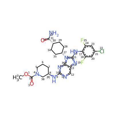 COC(=O)N1CCC[C@@H](Nc2ncc3nc(Nc4c(F)cc(Cl)cc4F)n([C@H]4CC[C@@H](C(N)=O)CC4)c3n2)C1